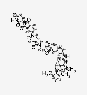 Cc1cccc(C)c1Nc1nn(C)c2nc(Nc3ccc4c(c3)CN(C(=O)C3(F)CCN(C(=O)C5CCN(c6ccc7c(c6)C(=O)N(C6CCC(=O)NC6=O)C7=O)CC5)CC3)CC4)ncc12